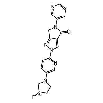 O=C1c2cn(-c3ccc(N4CC[C@@H](F)C4)cn3)nc2CN1c1cccnc1